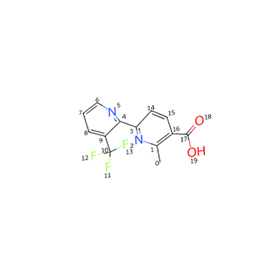 Cc1nc(-c2ncccc2C(F)(F)F)ccc1C(=O)O